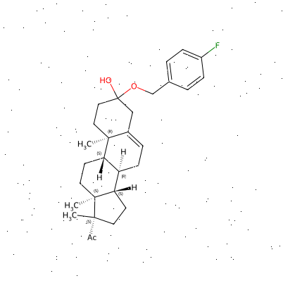 CC(=O)[C@@]1(C)CC[C@H]2[C@@H]3CC=C4CC(O)(OCc5ccc(F)cc5)CC[C@]4(C)[C@H]3CC[C@@]21C